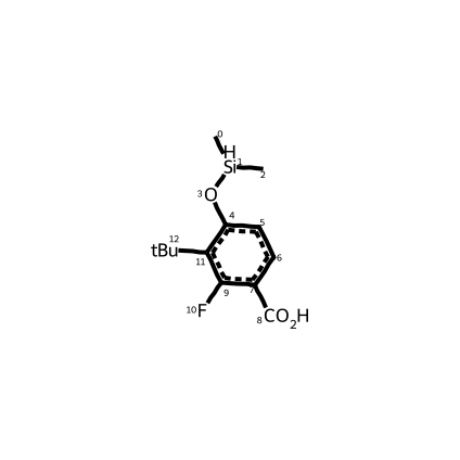 C[SiH](C)Oc1ccc(C(=O)O)c(F)c1C(C)(C)C